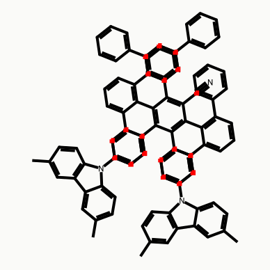 Cc1ccc2c(c1)c1cc(C)ccc1n2-c1ccc(-c2c(-c3c(-c4ccccc4)cccc3-c3ccccc3)c(C#N)c(-c3nc(-c4ccccc4)cc(-c4ccccc4)n3)c(-c3c(-c4ccccc4)cccc3-c3ccccc3)c2-c2ccc(-n3c4ccc(C)cc4c4cc(C)ccc43)cc2)cc1